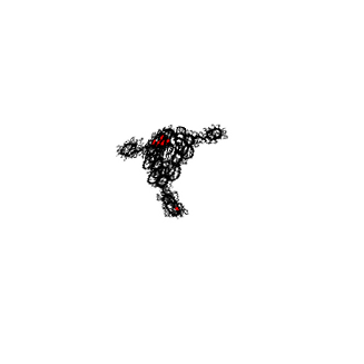 c1ccc2c3c(sc2c1)B1c2cc4c(cc2Oc2cc(CCC5CC6CCCC(C6)C5)cc(c21)O3)Oc1cc(C23CC5CC(CC(C5)C2)C3)cc2c1B4c1cc3c(cc1O2)Oc1cc(CCC2CC4CCCC(C4)C2)cc2c1B3c1sc3ccccc3c1O2